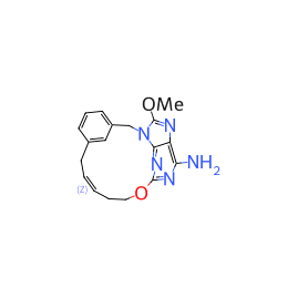 COc1nc2c(N)nc3nc2n1Cc1cccc(c1)C/C=C\CCO3